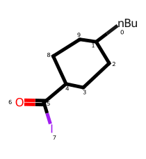 CCCCC1CCC(C(=O)I)CC1